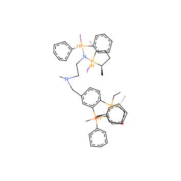 CC[PH]1(c2ccc(CN(C)CCN([PH](I)(c3ccccc3)c3ccccc3)[PH]3(I)[C@H](C)CC[C@H]3C)cc2[PH](C)(c2ccccc2)c2ccccc2)[C@H](C)CCC[C@H]1C